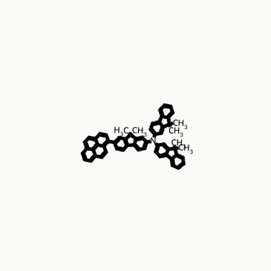 CC1(C)c2ccccc2-c2ccc(N(c3ccc4c(c3)C(C)(C)c3ccccc3-4)c3ccc4c(c3)C(C)(C)c3cc(-c5ccc6ccc7cccc8ccc5c6c78)ccc3-4)cc21